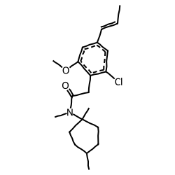 C/C=C/c1cc(Cl)c(CC(=O)N(C)C2(C)CCC(C)CC2)c(OC)c1